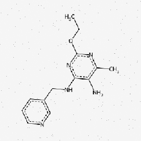 CCOc1nc(C)c(N)c(NCc2cccnc2)n1